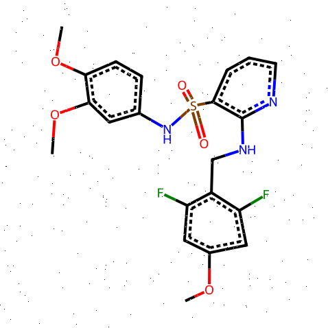 COc1cc(F)c(CNc2ncccc2S(=O)(=O)Nc2ccc(OC)c(OC)c2)c(F)c1